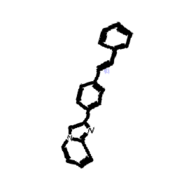 C(=C\c1ccc(-c2cn3ccccc3n2)cc1)/c1ccccc1